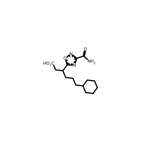 NC(=O)c1noc(C(CCCC2CCCCC2)CC(=O)O)n1